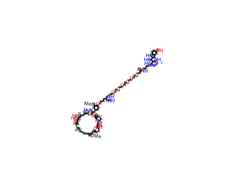 CO[C@H]1C[C@@H]2CCC[C@@](O)(O2)C(=O)C(=O)N2CCCC[C@H]2C(=O)OC([C@H](N)C[C@@H]2CC[C@@H](OCCCC/C(=C/NCCOCCOCCOCCOCCOCCOCCC(=O)NCCCCNc3ncnc(N)c3C(=N)c3cc4cc(O)ccc4[nH]3)N=N)[C@H](OC)C2)CC(=O)[C@H](C)/C=C(\C)[C@@H](O)[C@@H](O)C(=O)[C@H](C)C[C@H](C)/C=C/C=C/C=C/1C